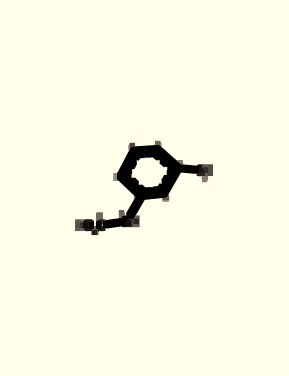 O=C(O)Nc1cccc(S)c1